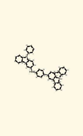 c1ccc(-n2c3ccccc3c3cc(Nc4ccc(-c5cc6c7ccccc7n7c8ccccc8c(c5)c67)cc4)ccc32)cc1